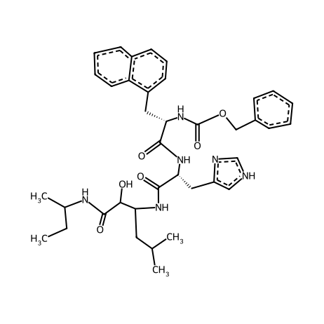 CCC(C)NC(=O)C(O)C(CC(C)C)NC(=O)[C@@H](Cc1c[nH]cn1)NC(=O)[C@H](Cc1cccc2ccccc12)NC(=O)OCc1ccccc1